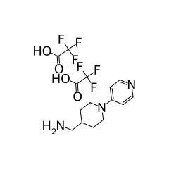 NCC1CCN(c2ccncc2)CC1.O=C(O)C(F)(F)F.O=C(O)C(F)(F)F